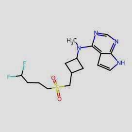 CN(c1ncnc2[nH]ccc12)C1CC(CS(=O)(=O)CCCC(F)F)C1